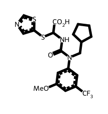 COc1cc(N(CC2CCCC2)C(=O)NC(Sc2cncs2)C(=O)O)cc(C(F)(F)F)c1